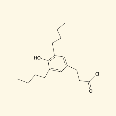 CCCCc1cc(CCC(=O)Cl)cc(CCCC)c1O